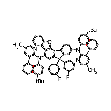 Cc1cnc(N(c2ccc(C(C)(C)C)cc2)c2ccc3c(c2)C(c2cccc(F)c2)(c2cccc(F)c2)c2cc(N(c4ccc(C(C)(C)C)cc4)c4ncc(C)cc4-c4ccccc4)c4c(oc5ccccc54)c2-3)c(-c2ccccc2)c1